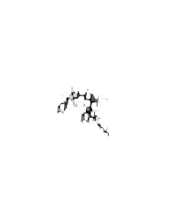 CCCOCCNC(=O)c1cncc2[nH]c(-c3n[nH]c4ncc(-c5cncc(NC(=O)C6CCN(C)CC6)c5)cc34)nc12